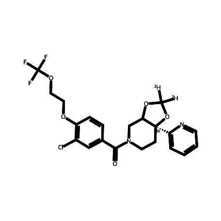 [2H]C1([2H])OC2CN(C(=O)c3ccc(OCCOC(F)(F)F)c(Cl)c3)CC[C@]2(c2ccccn2)O1